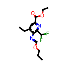 CCCOC=Nc1c(CC)cc(C(=O)OCC)nc1C(F)F